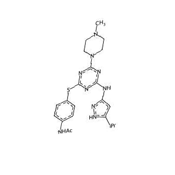 CC(=O)Nc1ccc(Sc2nc(Nc3cc(C(C)C)[nH]n3)nc(N3CCN(C)CC3)n2)cc1